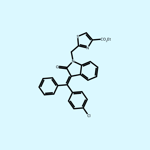 CCOC(=O)c1csc(CN2C(=O)/C(=C(\c3ccccc3)c3ccc(Cl)cc3)c3ccccc32)n1